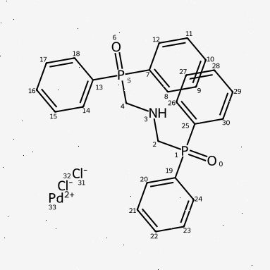 O=P(CNCP(=O)(c1ccccc1)c1ccccc1)(c1ccccc1)c1ccccc1.[Cl-].[Cl-].[Pd+2]